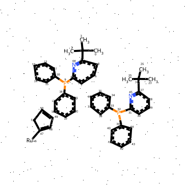 CC(C)(C)c1cccc(P(c2ccccc2)c2ccccc2)n1.CC(C)(C)c1cccc(P(c2ccccc2)c2ccccc2)n1.[Ru][C]1=CC=CC1